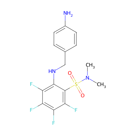 CN(C)S(=O)(=O)c1c(F)c(F)c(F)c(F)c1NCc1ccc(N)cc1